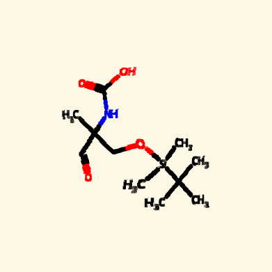 CC(C=O)(CO[Si](C)(C)C(C)(C)C)NC(=O)O